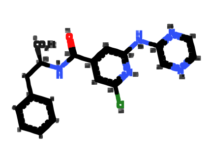 CCOC(=O)[C@H](Cc1ccccc1)NC(=O)c1cc(Cl)nc(Nc2cnccn2)c1